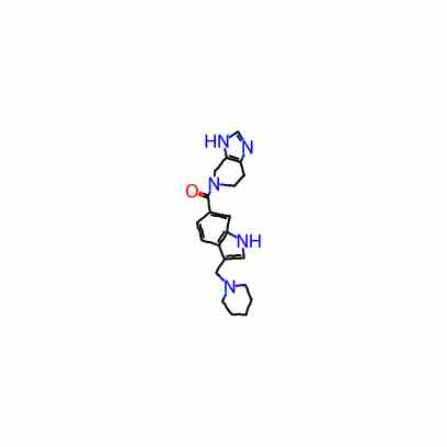 O=C(c1ccc2c(CN3CCCCC3)c[nH]c2c1)N1CCc2nc[nH]c2C1